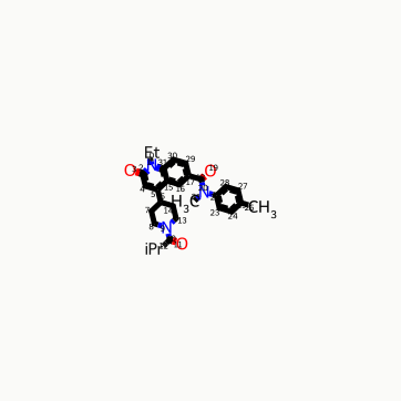 CCn1c(=O)cc(C2CCN(C(=O)C(C)C)CC2)c2cc(C(=O)N(C)c3ccc(C)cc3)ccc21